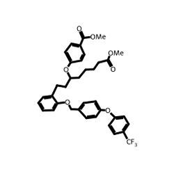 COC(=O)CCCCC(CCc1ccccc1OCc1ccc(Oc2ccc(C(F)(F)F)cc2)cc1)Oc1ccc(C(=O)OC)cc1